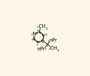 CCCC(C)(CCC)c1ccnc(C)c1